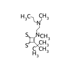 CCCN(CC)CCN(C)c1c(C(C)(C)C)c(=S)c1=S